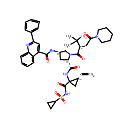 C=C[C@@H]1CC1(NC(=O)[C@@H]1C[C@@H](NC(=O)c2cc(-c3ccccc3)nc3ccccc23)CN1C(=O)[C@@H](CC(=O)N1CCCCC1)C(C)(C)C)C(=O)NS(=O)(=O)C1CC1